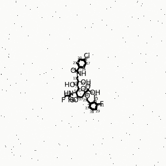 O=C(CF)N[C@H]1[C@H]([C@H](O)[C@H](O)CNC(=O)c2ccc(Cl)cc2)O[C@@](OCc2cccc(F)c2F)(C(=O)O)C[C@@H]1O